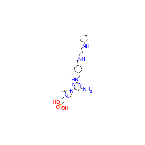 C[C@@H]1CN(c2cc(N)nc(NC[C@H]3CC[C@H](CNCCCNC4CCCCC4)CC3)n2)CCN1CCP(=O)(O)O